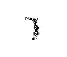 N#Cc1ccc(C(=O)N2CCC(N3CCN(c4ncc(C(=O)NCCOc5ccccc5)cc4Br)CC3)CC2)cc1